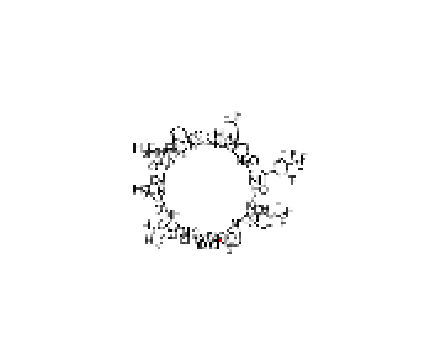 CC[C@H](C)[C@@H]1NC(=O)[C@H](CC2CC2)N(C)C(=O)C[C@@H](C(=O)N(C)C)N(C)C(=O)[C@H](C2CCCC2)N(C)C(=O)C2(CCC2)NC(=O)[C@@H]2[C@@H](OCC(F)F)CCN2C(=O)[C@H](CCc2cc(F)c(C(F)(F)F)c(F)c2)NC(=O)CN(C)C(=O)[C@H](Cc2ccc(C(F)(F)F)cc2)N2CC/C=C\C[C@@H](C2=O)N(C)C(=O)CN(C)C1=O